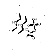 CCNCC.CCNCC.O=S(=O)(O)OS(=O)(=O)O